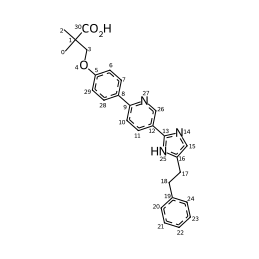 CC(C)(COc1ccc(-c2ccc(-c3ncc(CCc4ccccc4)[nH]3)cn2)cc1)C(=O)O